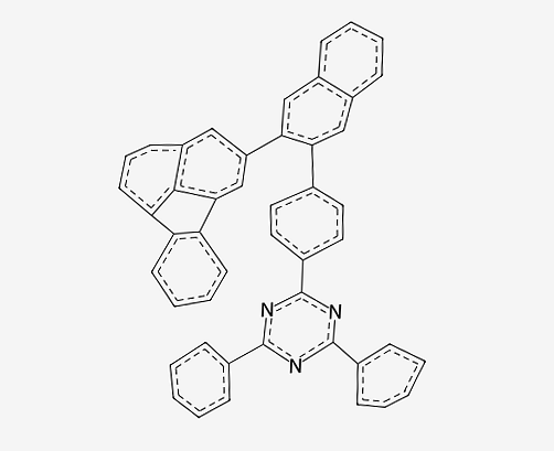 c1ccc(-c2nc(-c3ccccc3)nc(-c3ccc(-c4cc5ccccc5cc4-c4cc5c6c(cccc6c4)-c4ccccc4-5)cc3)n2)cc1